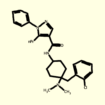 CCCc1c(C(=O)NC2CCC(Cc3ccccc3Cl)(N(C)C)CC2)cnn1-c1ccccc1